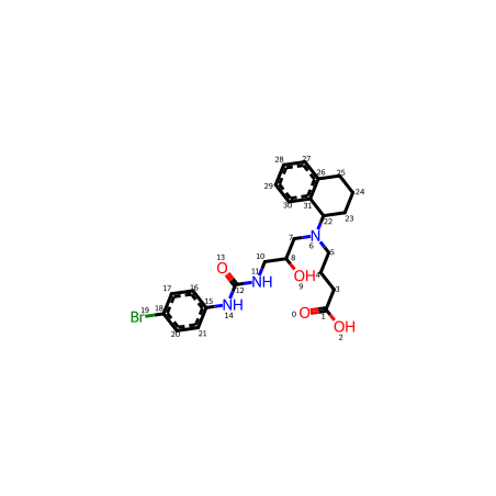 O=C(O)CCCN(CC(O)CNC(=O)Nc1ccc(Br)cc1)C1CCCc2ccccc21